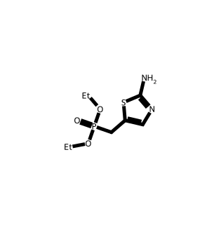 CCOP(=O)(Cc1cnc(N)s1)OCC